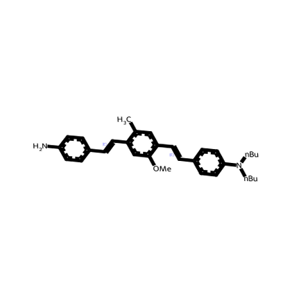 CCCCN(CCCC)c1ccc(/C=C/c2cc(C)c(/C=C/c3ccc(N)cc3)cc2OC)cc1